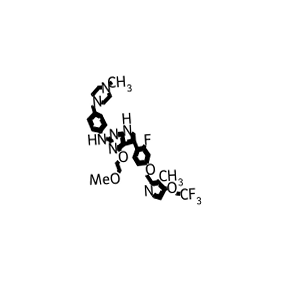 COCCOc1nc(Nc2ccc(CN3CCN(C)CC3)cc2)nc2[nH]cc(-c3ccc(OCc4nccc(OCC(F)(F)F)c4C)cc3F)c12